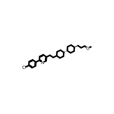 COCCC[C@H]1CC[C@H](C2CCC(CCc3ccc(-c4ccc(Cl)cc4)nc3)CC2)CC1